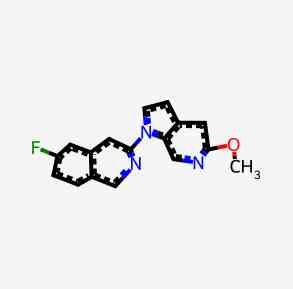 COc1cc2ccn(-c3cc4cc(F)ccc4cn3)c2cn1